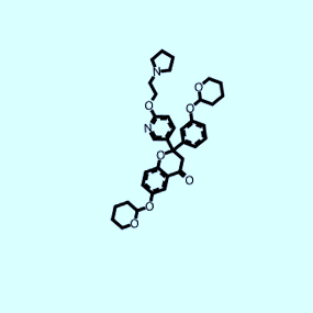 O=C1CC(c2ccc(OCCN3CCCC3)nc2)(c2cccc(OC3CCCCO3)c2)Oc2ccc(OC3CCCCO3)cc21